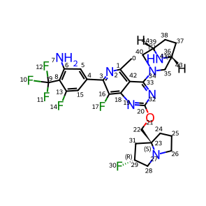 Cc1nc(-c2cc(N)c(C(F)(F)F)c(F)c2)c(F)c2nc(OC[C@@]34CCCN3C[C@H](F)C4)nc(N3C[C@H]4CC[C@@H](C3)N4)c12